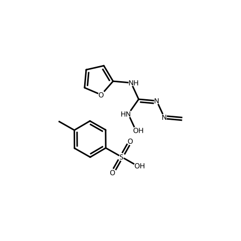 C=NN=C(NO)Nc1ccco1.Cc1ccc(S(=O)(=O)O)cc1